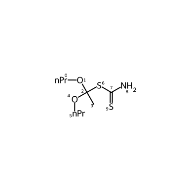 CCCOC(C)(OCCC)SC(N)=S